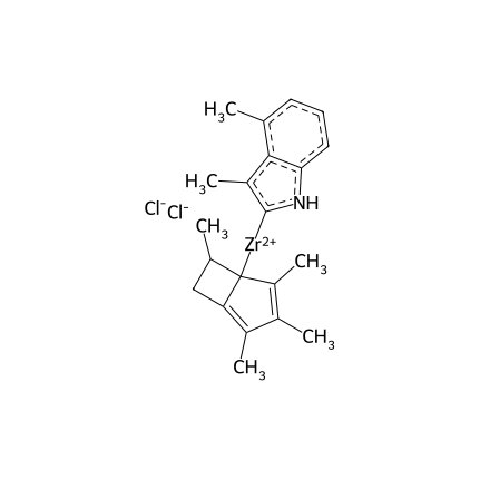 CC1=C(C)[C]2([Zr+2][c]3[nH]c4cccc(C)c4c3C)C(=C1C)CC2C.[Cl-].[Cl-]